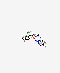 CCC(Cc1ccc2sccc2c1)OCCN(CC)CC.Cl